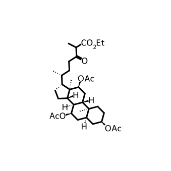 CCOC(=O)C(C)C(=O)CC[C@@H](C)[C@H]1CC[C@H]2[C@@H]3[C@H](OC(C)=O)C[C@@H]4C[C@H](OC(C)=O)CC[C@]4(C)[C@H]3C[C@H](OC(C)=O)[C@]12C